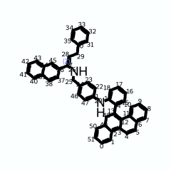 C1=CC2=c3ccc4ccccc4c3=C(c3ccccc3Nc3ccc(CN/C(=C\Cc4ccccc4)c4ccc5ccccc5c4)cc3)CC2C=C1